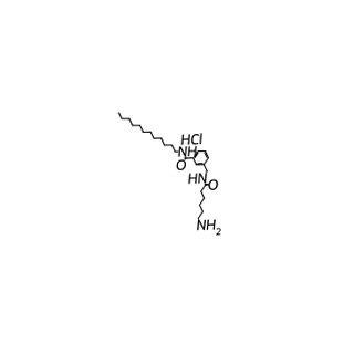 CCCCCCCCCCCCNC(=O)c1cccc(CNC(=O)CCCCCN)c1.Cl